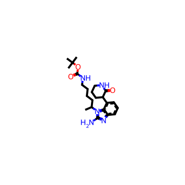 CC(CCCCNC(=O)OC(C)(C)C)n1c(N)nc2cccc(C3CCCNC3=O)c21